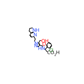 O=C(O)CC(NC(=O)c1cnn(CCc2ccc3c(n2)NCCC3)c1CO)c1ccccc1Cl